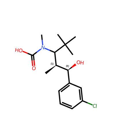 C[C@@H](C(N(C)C(=O)O)C(C)(C)C)[C@@H](O)c1cccc(Cl)c1